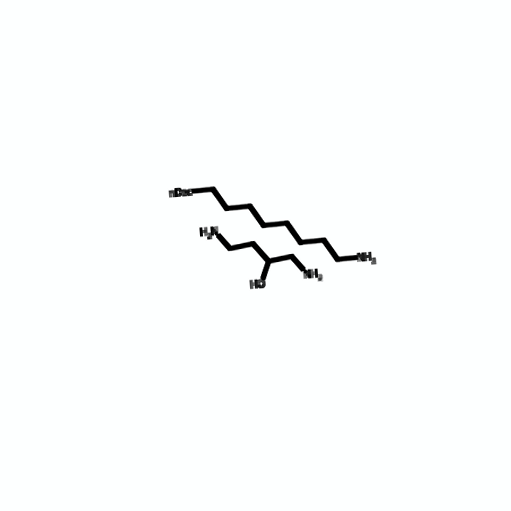 CCCCCCCCCCCCCCCCCCN.NCCC(O)CN